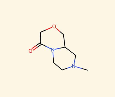 CN1CCN2C(=O)COCC2C1